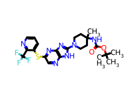 CC1(NC(=O)OC(C)(C)C)CCN(c2nc3nc(Sc4cccnc4C(F)(F)F)cnc3[nH]2)CC1